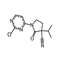 CC(C)C1(C#N)CCN(c2ccnc(Cl)n2)C1=O